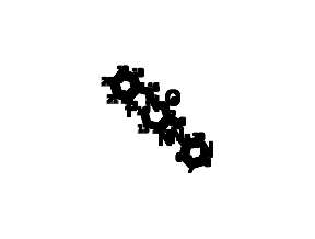 O=C1c2cn(-c3cccnc3)nc2CCN1Cc1ccccc1F